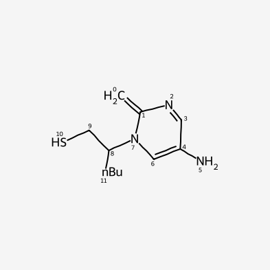 C=C1N=CC(N)=CN1C(CS)CCCC